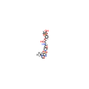 Cc1c(S(=O)(=O)N2CCC3(CC2)C[C@H](NC[C@H](O)COc2cccc(S(=O)(=O)C4(CO)CC4)c2)CO3)cnc2c1N(C)CCO2